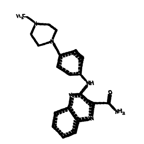 CN1CCN(c2ccc(Nc3nc4ccccc4nc3C(N)=O)cc2)CC1